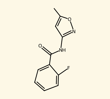 Cc1cc(NC(=O)c2ccccc2F)no1